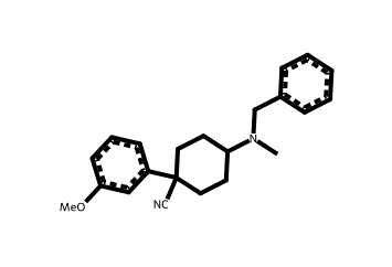 COc1cccc(C2(C#N)CCC(N(C)Cc3ccccc3)CC2)c1